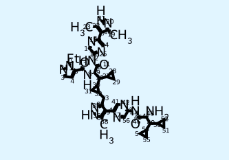 CCn1nccc1C(=O)N[C@H](C(=O)Nc1cnc(-c2c(C)n[nH]c2C)cn1)C(C1CC1)C1CC1Cc1n[nH]c(C)c1-c1cnc(NC(=O)[C@@H](N)C(C2CC2)C2CC2)cn1